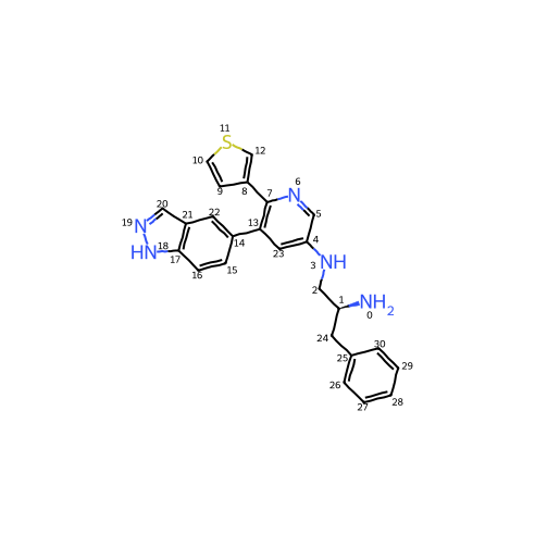 N[C@H](CNc1cnc(-c2ccsc2)c(-c2ccc3[nH]ncc3c2)c1)Cc1ccccc1